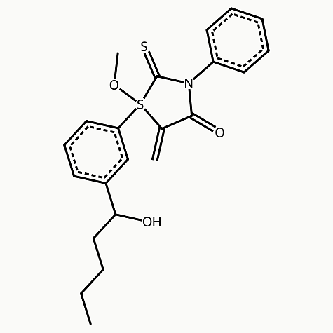 C=C1C(=O)N(c2ccccc2)C(=S)S1(OC)c1cccc(C(O)CCCC)c1